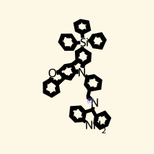 Nc1ccccc1C(/N=C/c1cccc(-n2c3ccc([Si](c4ccccc4)(c4ccccc4)c4ccccc4)cc3c3cc4oc5ccccc5c4cc32)c1)c1ccccc1